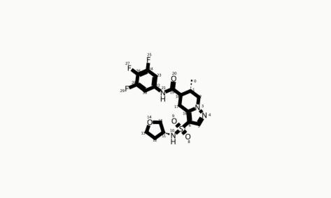 C[C@@H]1Cn2ncc(S(=O)(=O)N[C@@H]3CCOC3)c2CC1C(=O)Nc1cc(F)c(F)c(F)c1